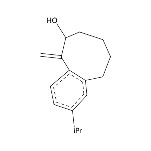 C=C1c2ccc(C(C)C)cc2CCCCC1O